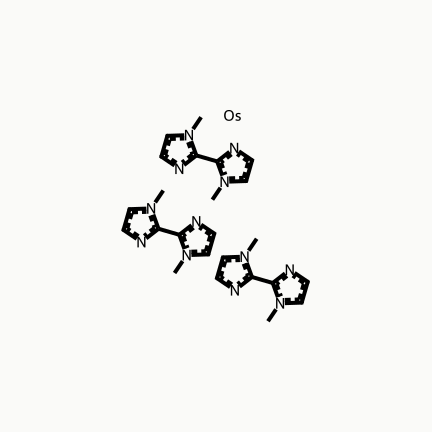 Cn1ccnc1-c1nccn1C.Cn1ccnc1-c1nccn1C.Cn1ccnc1-c1nccn1C.[Os]